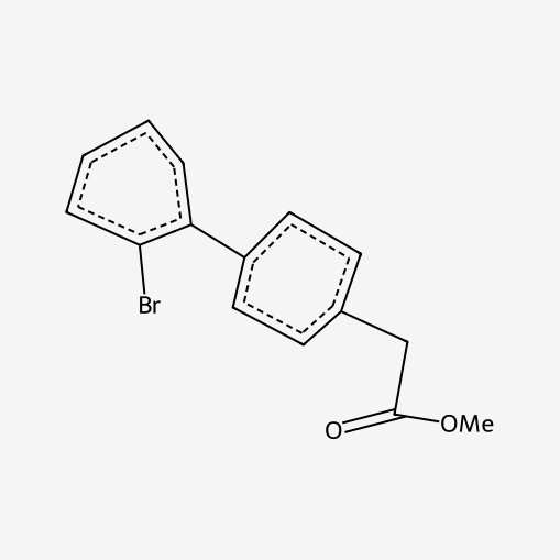 COC(=O)Cc1ccc(-c2ccccc2Br)cc1